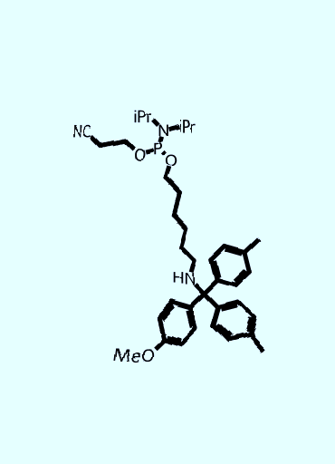 COc1ccc(C(NCCCCCCOP(OCCC#N)N(C(C)C)C(C)C)(c2ccc(C)cc2)c2ccc(C)cc2)cc1